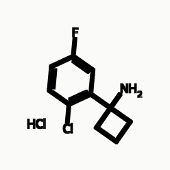 Cl.NC1(c2cc(F)ccc2Cl)CCC1